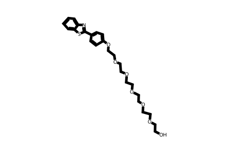 OCCOCCOCCOCCOCCOCCOc1ccc(-c2nc3ccccc3s2)cc1